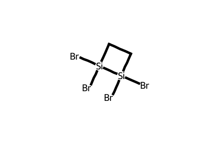 Br[Si]1(Br)CC[Si]1(Br)Br